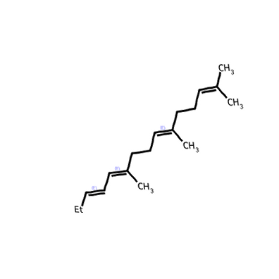 CC/C=C/C=C(\C)CC/C=C(\C)CCC=C(C)C